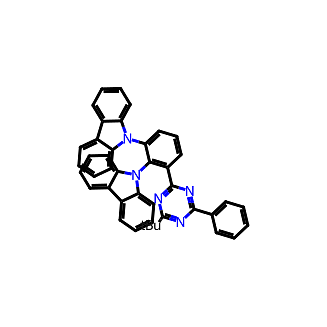 CC(C)(C)c1nc(-c2ccccc2)nc(-c2cccc(-n3c4ccccc4c4ccccc43)c2-n2c3ccccc3c3ccccc32)n1